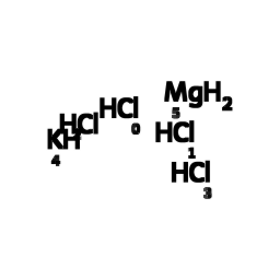 Cl.Cl.Cl.Cl.[KH].[MgH2]